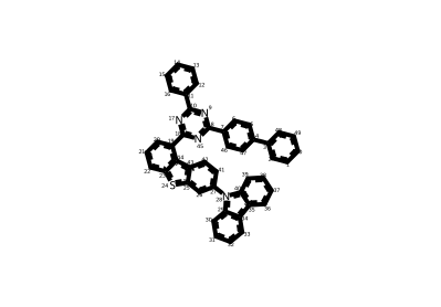 c1ccc(-c2ccc(-c3nc(-c4ccccc4)nc(-c4cccc5sc6cc(-n7c8ccccc8c8ccccc87)ccc6c45)n3)cc2)cc1